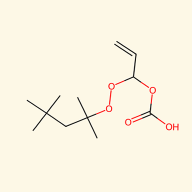 C=CC(OOC(C)(C)CC(C)(C)C)OC(=O)O